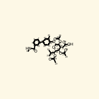 CNC(=O)c1cccc(-c2ccc(O[C@H]3O[C@@H]([C@@H](OC(C)=O)C(C)C)[C@H](OC(C)=O)[C@H](CC(=O)O)[C@@H]3OC(C)=O)c(C)c2)c1